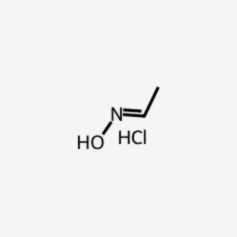 CC=NO.Cl